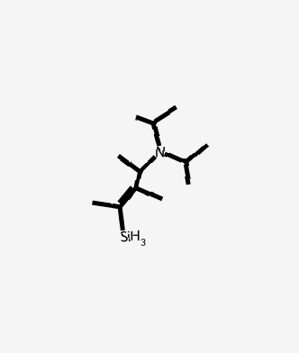 CC([SiH3])=C(C)C(C)N(C(C)C)C(C)C